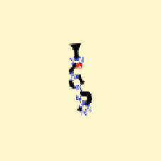 c1cc2nncn2nc1N1CCN(Cc2nc(C3CC3)no2)CC1